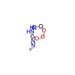 c1cc2cc(c1)-c1ccnc(n1)Nc1ccc(N3CCN(CC4CC4)CC3)c(c1)OCCOCCO2